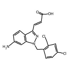 Nc1ccc2c(/C=C/C(=O)O)nn(Cc3ccc(Cl)cc3Cl)c2c1